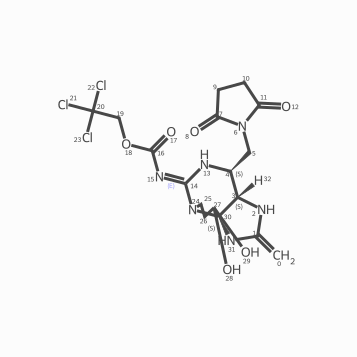 C=C1N[C@H]2[C@H](CN3C(=O)CCC3=O)N/C(=N\C(=O)OCC(Cl)(Cl)Cl)N3CCC(O)(O)[C@]23N1